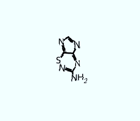 Nc1nsc2ncnc-2n1